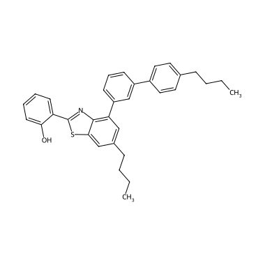 CCCCc1ccc(-c2cccc(-c3cc(CCCC)cc4sc(-c5ccccc5O)nc34)c2)cc1